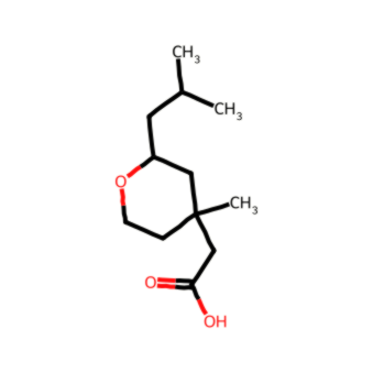 CC(C)CC1CC(C)(CC(=O)O)CCO1